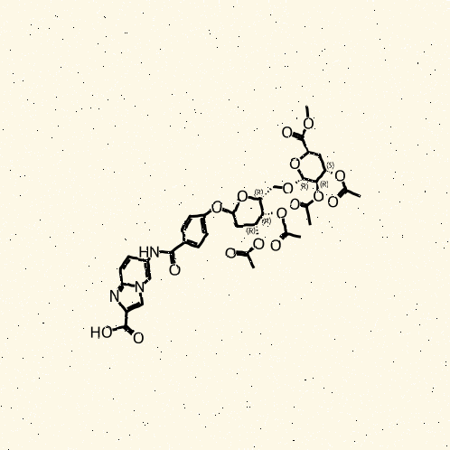 COC(=O)C1C[C@H](OC(C)=O)[C@@H](OC(C)=O)[C@H](OC[C@H]2OC(Oc3ccc(C(=O)Nc4ccc5nc(C(=O)O)cn5c4)cc3)C[C@@H](OC(C)=O)[C@H]2OC(C)=O)O1